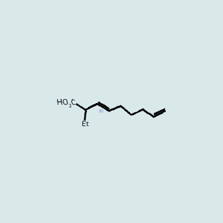 C=CCCC/C=C/C(CC)C(=O)O